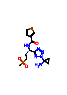 CS(=O)(=O)CC[C@H](NC(=O)c1ccsc1)c1nnn(C2(N)CC2)n1